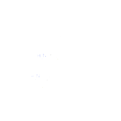 NC(=S)c1ccc(Cc2ccccc2)cc1.NC(=S)c1cccc(Cc2ccccc2)c1